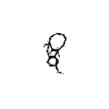 COc1ccc2c(c1)[C@@]1(C)CCCCC[C@@H](C2)C1O